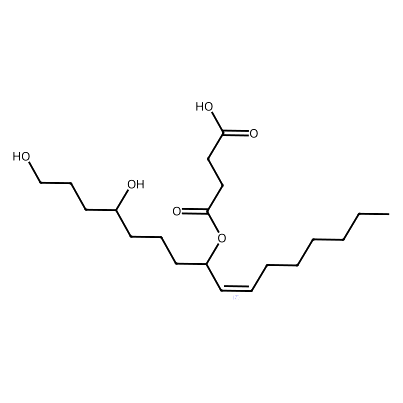 CCCCCC/C=C\C(CCCC(O)CCCO)OC(=O)CCC(=O)O